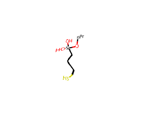 CCCO[Si](O)(O)CCCS